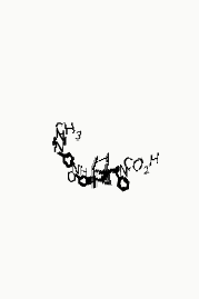 CN1CCN(Cc2ccc(NC(=O)c3ccc4nc(-c5cn(CC(=O)O)c6ccccc56)[nH]c4c3)cc2)CC1